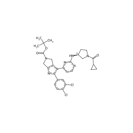 CC(C)(C)OC(=O)N1Cc2nc(-c3ccc(Cl)c(Cl)c3)n(-c3ccnc(N[C@H]4CCN(C(=O)C5CC5)C4)n3)c2C1